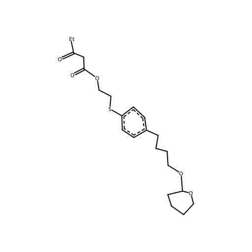 CCC(=O)CC(=O)OCCSc1ccc(CCCCOC2CCCCO2)cc1